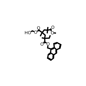 CCC(C)(CC(C)(CC(C)(C)C(=O)OC)C(=O)OCO)C(=O)OCc1c2ccccc2cc2ccccc12